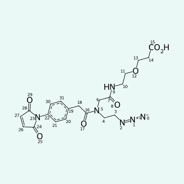 [N-]=[N+]=NCCN(CC(=O)NCCOCCC(=O)O)C(=O)Cc1ccc(N2C(=O)C=CC2=O)cc1